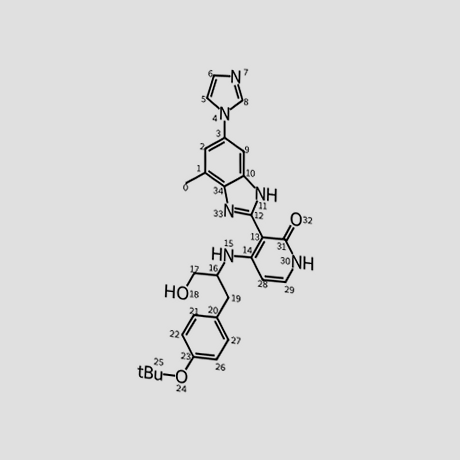 Cc1cc(-n2ccnc2)cc2[nH]c(-c3c(NC(CO)Cc4ccc(OC(C)(C)C)cc4)cc[nH]c3=O)nc12